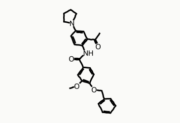 COc1cc(C(=O)Nc2ccc(N3CCCC3)cc2C(C)=O)ccc1OCc1ccccc1